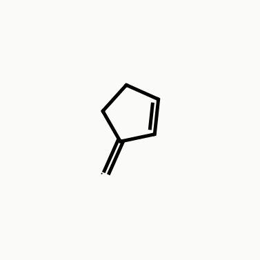 [CH]=C1C=CCC1